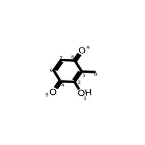 CC1=C(O)C(=O)C=CC1=O